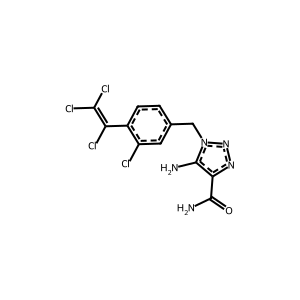 NC(=O)c1nnn(Cc2ccc(C(Cl)=C(Cl)Cl)c(Cl)c2)c1N